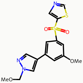 COCn1cc(-c2cc(OC)cc(S(=O)(=O)c3cn[c]s3)c2)cn1